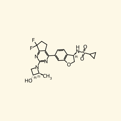 C[C@H]1[C@H](O)CN1c1nc(-c2ccc3c(c2)OC[C@@H]3NS(=O)(=O)C2CC2)c2c(n1)C(F)(F)CC2